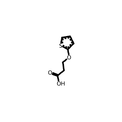 O=C(O)CCOc1cccs1